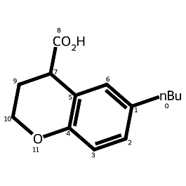 CCCCc1ccc2c(c1)C(C(=O)O)CCO2